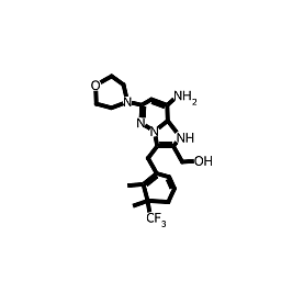 CC1=C(CC2=C(CO)NC3C(N)=CC(N4CCOCC4)=NN23)C=CCC1(C)C(F)(F)F